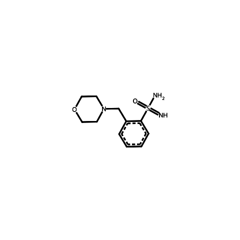 N=S(N)(=O)c1ccccc1CN1CCOCC1